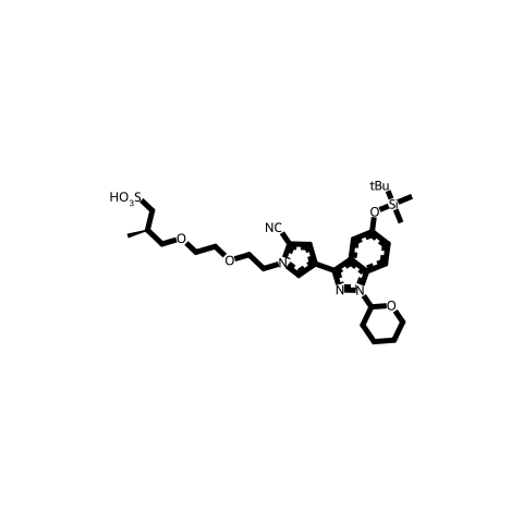 C[C@H](COCCOCCn1cc(-c2nn(C3CCCCO3)c3ccc(O[Si](C)(C)C(C)(C)C)cc23)cc1C#N)CS(=O)(=O)O